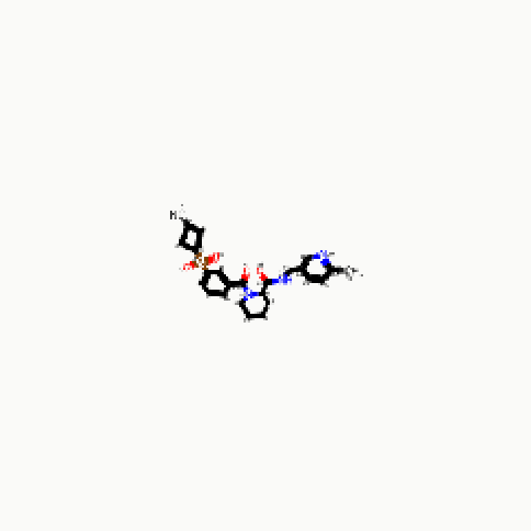 N#CC1CC(S(=O)(=O)c2cccc(C(=O)N3CCCCC3C(=O)NCc3ccc(C(F)(F)F)nc3)c2)C1